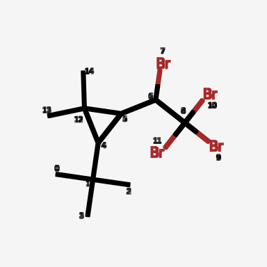 CC(C)(C)C1C(C(Br)C(Br)(Br)Br)C1(C)C